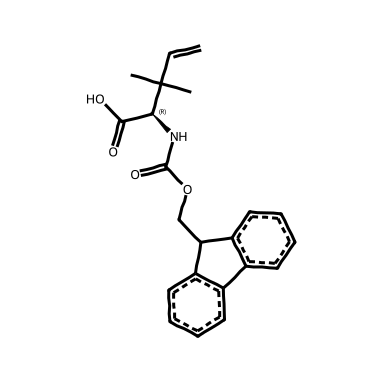 C=CC(C)(C)[C@@H](NC(=O)OCC1c2ccccc2-c2ccccc21)C(=O)O